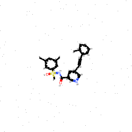 Cc1cc(C)cc(S(C)(=O)=NC(=O)c2cncc(C#Cc3ccccc3C)c2)c1